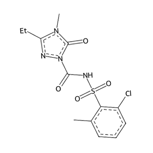 CCc1nn(C(=O)NS(=O)(=O)c2c(C)cccc2Cl)c(=O)n1C